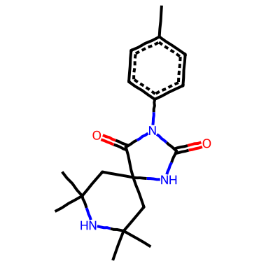 Cc1ccc(N2C(=O)NC3(CC(C)(C)NC(C)(C)C3)C2=O)cc1